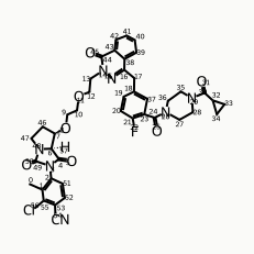 Cc1c(N2C(=O)[C@@H]3[C@H](OCCOCCn4nc(Cc5ccc(F)c(C(=O)N6CCN(C(=O)C7CC7)CC6)c5)c5ccccc5c4=O)CCN3C2=O)ccc(C#N)c1Cl